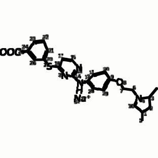 CC1CC(C)N(CCOc2ccc(Nc3nccc(Sc4cccc(C(=O)[O-])c4)n3)cc2)C1.[Na+]